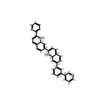 C1=CC2=CC=C(c3ccccn3)NC2C=C1C1=CC=C2C=CC(c3cccc(-c4cccnc4)c3)=CC2N1